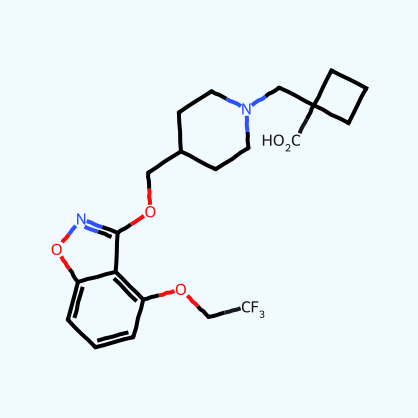 O=C(O)C1(CN2CCC(COc3noc4cccc(OCC(F)(F)F)c34)CC2)CCC1